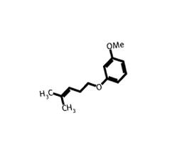 COc1cccc(OCCC=C(C)C)c1